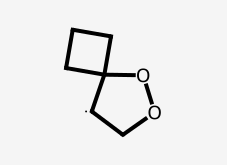 [CH]1COOC12CCC2